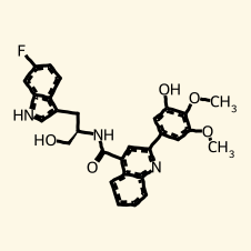 COc1cc(-c2cc(C(=O)N[C@@H](CO)Cc3c[nH]c4cc(F)ccc34)c3ccccc3n2)cc(O)c1OC